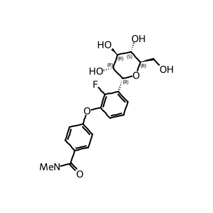 CNC(=O)c1ccc(Oc2cccc([C@H]3O[C@H](CO)[C@@H](O)[C@H](O)[C@H]3O)c2F)cc1